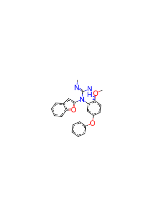 CN=C(N)N(c1cc2ccccc2o1)c1cc(Oc2ccccc2)ccc1OC